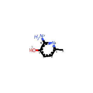 Cc1ccc(O)c(N)n1